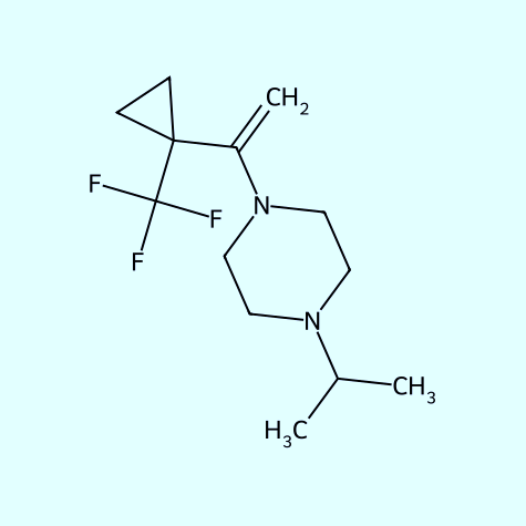 C=C(N1CCN(C(C)C)CC1)C1(C(F)(F)F)CC1